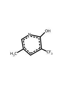 Cc1cnc(O)c(C(F)(F)F)c1